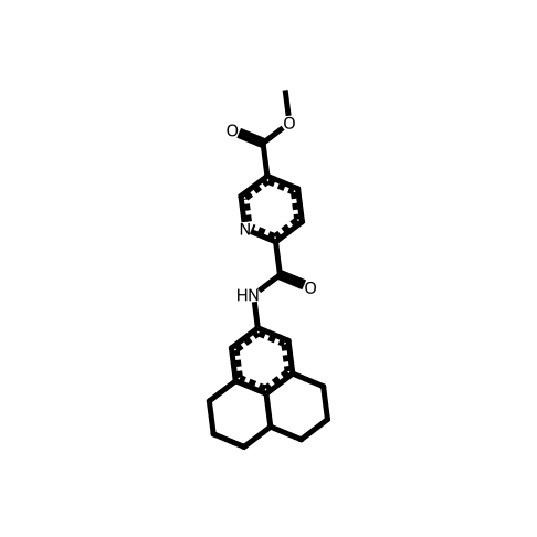 COC(=O)c1ccc(C(=O)Nc2cc3c4c(c2)CCCC4CCC3)nc1